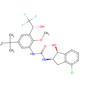 COc1c(NC(=O)N[C@@H]2Cc3c(Cl)cccc3[C@@H]2O)cc(C(C)(C)C)cc1[C@@H](O)C(F)(F)F